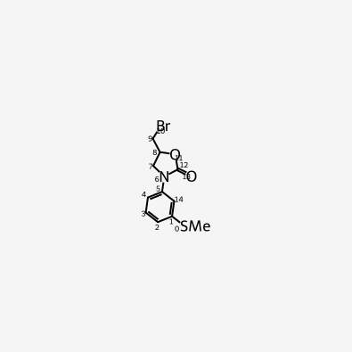 CSc1cccc(N2CC(CBr)OC2=O)c1